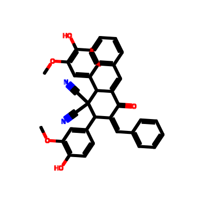 COc1cc(C2/C(=C/c3ccccc3)C(=O)/C(=C/c3ccccc3)C(c3ccc(O)c(OC)c3)C2(C#N)C#N)ccc1O